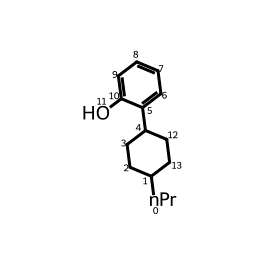 CCCC1CCC(c2ccccc2O)CC1